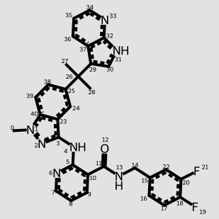 Cn1nc(Nc2ncccc2C(=O)NCc2ccc(F)c(F)c2)c2cc(C(C)(C)c3c[nH]c4ncccc34)ccc21